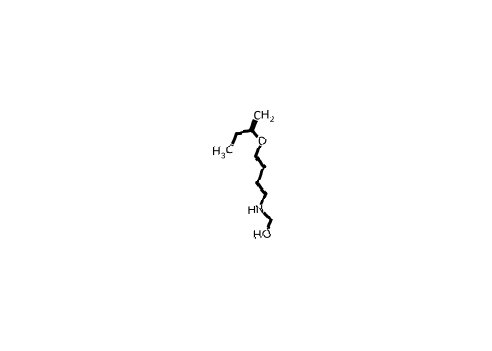 C=C(CC)OCCCCNCO